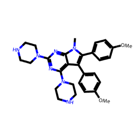 COc1ccc(-c2c(-c3ccc(OC)cc3)n(C)c3nc(N4CCNCC4)nc(N4CCNCC4)c23)cc1